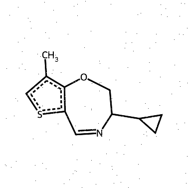 Cc1csc2c1OCC(C1CC1)N=C2